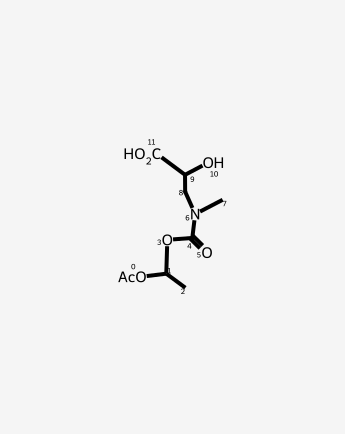 CC(=O)OC(C)OC(=O)N(C)CC(O)C(=O)O